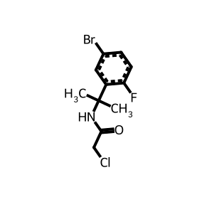 CC(C)(NC(=O)CCl)c1cc(Br)ccc1F